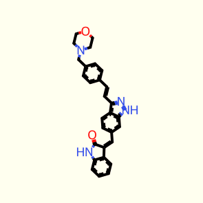 O=C1Nc2ccccc2/C1=C/c1ccc2c(C=Cc3ccc(CN4CCOCC4)cc3)n[nH]c2c1